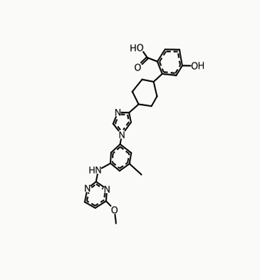 COc1ccnc(Nc2cc(C)cc(-n3cnc(C4CCC(c5cc(O)ccc5C(=O)O)CC4)c3)c2)n1